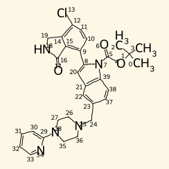 CC(C)(C)OC(=O)n1c(-c2ccc(Cl)c3c2C(=O)NC3)cc2cc(CN3CCN(c4ccccn4)CC3)ccc21